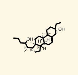 CCCC(O)[C@@H](C)[C@H]1CC[C@H]2[C@@H]3CC=C4C[C@](O)(CC)CC[C@]4(C)[C@H]3CC[C@]12C